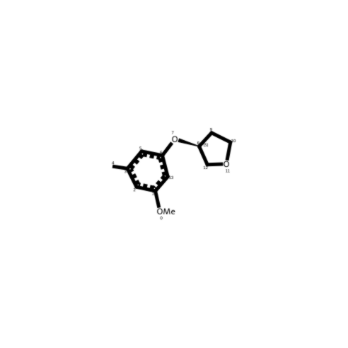 COc1cc(C)cc(O[C@H]2CCOC2)c1